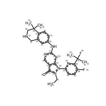 CCn1c(=O)c2cnc(Nc3ccc4c(c3)CNCC4(C)C)nc2n1-c1ccc(F)c(C(C)(C)F)n1